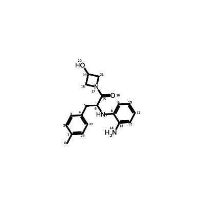 Cc1ccc(C[C@H](Nc2ccccc2N)C(=O)N2CC(O)C2)cc1